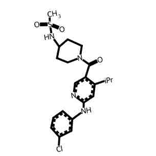 CC(C)c1cc(Nc2cccc(Cl)c2)ncc1C(=O)N1CCC(NS(C)(=O)=O)CC1